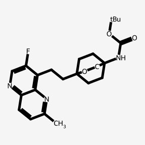 Cc1ccc2ncc(F)c(CCC34CCC(NC(=O)OC(C)(C)C)(CC3)CO4)c2n1